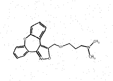 CN(C)CCCOCc1onc2c1-c1ccccc1Oc1ccccc1-2